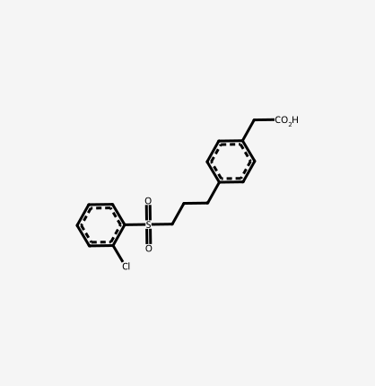 O=C(O)Cc1ccc(CCCS(=O)(=O)c2ccccc2Cl)cc1